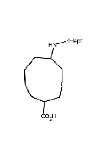 CCCCCCCNC1CCCCC(C(=O)O)CCC1